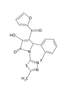 Cc1nnc(N2C(=O)C(O)=C(C(=O)c3ccco3)C2c2ccccc2F)s1